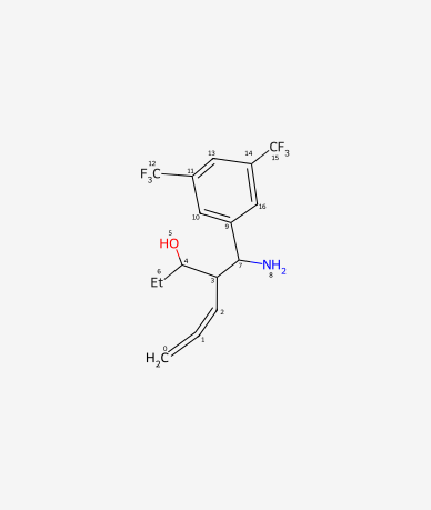 C=C=CC(C(O)CC)C(N)c1cc(C(F)(F)F)cc(C(F)(F)F)c1